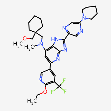 CCOc1ncc(-c2cc(N(C)CC3(COC)CCCCC3)c3[nH]c(-c4cnc(N5CCCCC5)cn4)nc3n2)cc1C(F)(F)F